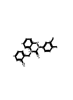 Cc1ccc(N2Sc3ccccc3N(Cc3ccccc3Cl)C2=O)cc1C